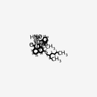 CCCCC(CC)CSc1cc2c3c(cccc3c1)C(=O)N(OS(=N)(=O)CC13CCC(CC1=O)C3C(C)C)C2=O